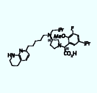 COc1c(F)cc(C(C)C)cc1[C@@H](C(=O)O)N1CC[C@@H](N(CCCCCc2ccc3c(n2)NCCC3)CC(C)C)C1